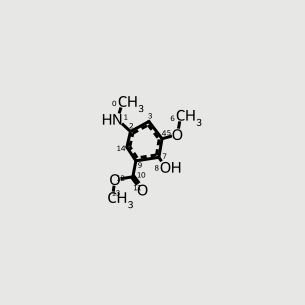 CNc1cc(OC)c(O)c(C(=O)OC)c1